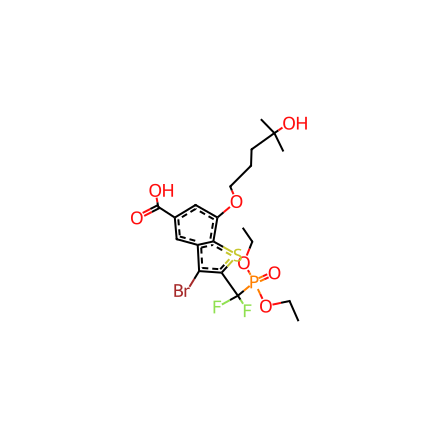 CCOP(=O)(OCC)C(F)(F)c1sc2c(OCCCC(C)(C)O)cc(C(=O)O)cc2c1Br